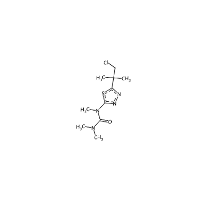 CN(C)C(=O)N(C)c1nnc(C(C)(C)CCl)s1